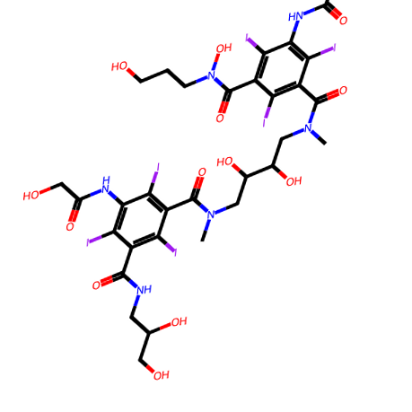 CN(CC(O)C(O)CN(C)C(=O)c1c(I)c(NC(=O)CO)c(I)c(C(=O)N(O)CCCO)c1I)C(=O)c1c(I)c(NC(=O)CO)c(I)c(C(=O)NCC(O)CO)c1I